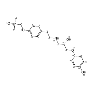 CP(C)(=O)COc1ccc(CCNC[C@H](O)COc2ccc(O)cc2)cc1